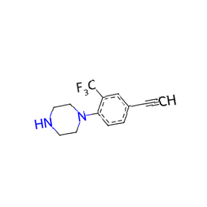 C#Cc1ccc(N2CCNCC2)c(C(F)(F)F)c1